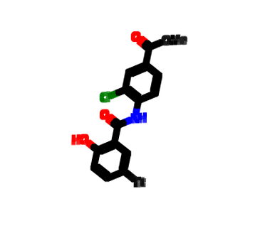 CCc1ccc(O)c(C(=O)Nc2ccc(C(=O)OC)cc2Cl)c1